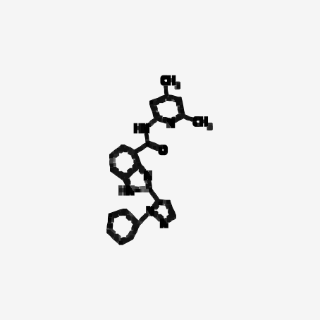 Cc1cc(C)nc(NC(=O)c2cccc3[nH]c(-c4ccnn4-c4ccccc4)nc23)c1